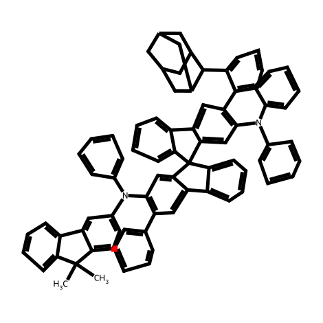 CC1(C)c2ccccc2-c2cc(N(c3ccccc3)c3cc4c(cc3-c3ccccc3)-c3ccccc3C43c4ccccc4-c4cc(-c5ccccc5C5C6CC7CC(C6)CC5C7)c(N(c5ccccc5)c5ccccc5)cc43)ccc21